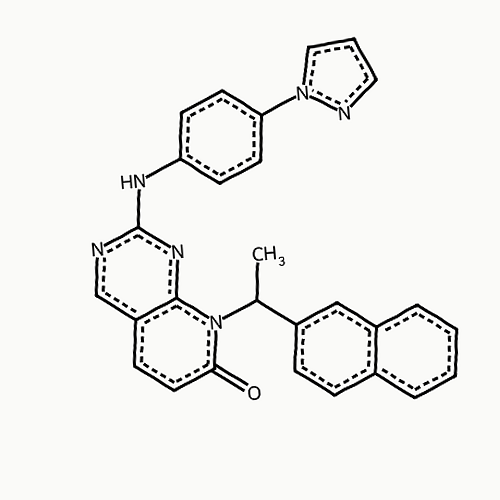 CC(c1ccc2ccccc2c1)n1c(=O)ccc2cnc(Nc3ccc(-n4cccn4)cc3)nc21